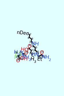 CCCC(=O)O.CCCCCCCCCCCCCCNCCCCNC(CC)C(N)=O.NC(N)=O.O=C(O)C(F)(F)F